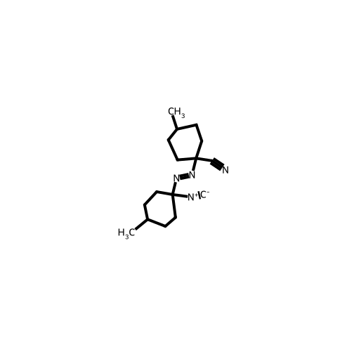 [C-]#[N+]C1(N=NC2(C#N)CCC(C)CC2)CCC(C)CC1